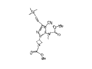 CN(C(=O)OC(C)(C)C)c1c(C#N)c(C#C[Si](C)(C)C)nn1C1CN(C(=O)OC(C)(C)C)C1